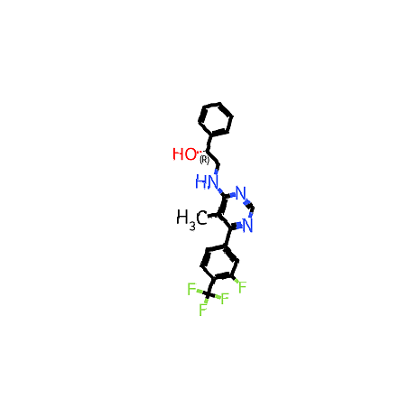 Cc1c(NC[C@H](O)c2ccccc2)ncnc1-c1ccc(C(F)(F)F)c(F)c1